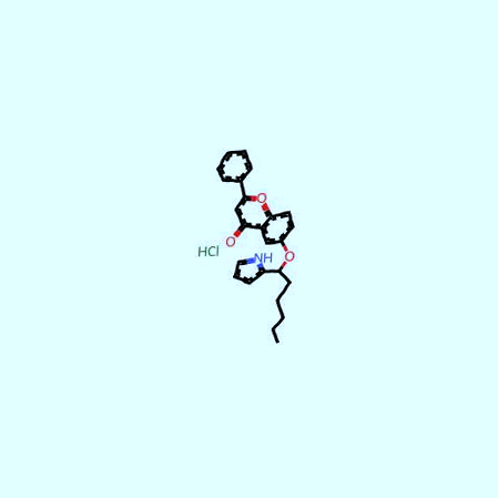 CCCCCC(Oc1ccc2oc(-c3ccccc3)cc(=O)c2c1)c1ccc[nH]1.Cl